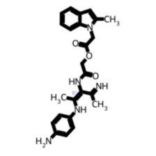 CC(=N)/C(NC(=O)COC(=O)Cn1c(C)cc2ccccc21)=C(/C)Nc1ccc(N)cc1